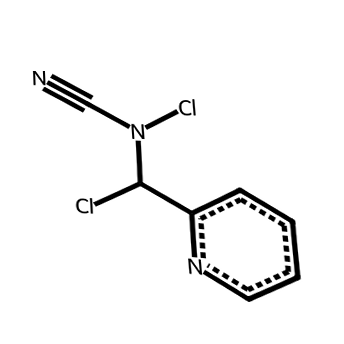 N#CN(Cl)C(Cl)c1ccccn1